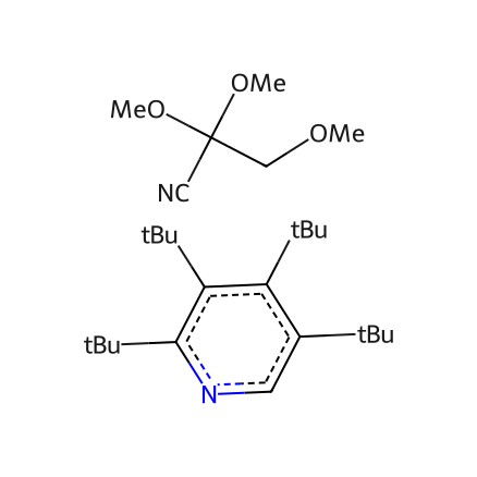 CC(C)(C)c1cnc(C(C)(C)C)c(C(C)(C)C)c1C(C)(C)C.COCC(C#N)(OC)OC